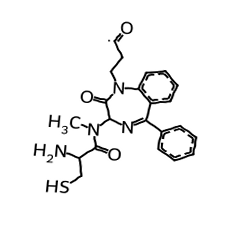 CN(C(=O)C(N)CS)C1N=C(c2ccccc2)c2ccccc2N(CC[C]=O)C1=O